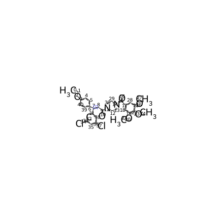 CCOc1ccc(/C(=C/C(=O)N2CCN(C(=O)c3cc(OC)c(OC)c(OC)c3)CC2)c2cc(Cl)cc(Cl)c2)cc1